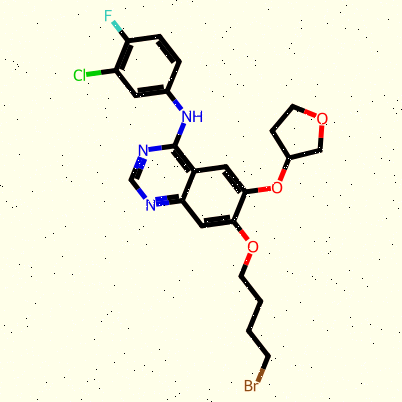 Fc1ccc(Nc2ncnc3cc(OCCCCBr)c(OC4CCOC4)cc23)cc1Cl